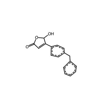 O=C1C=C(c2ccc(Cc3ccccc3)cc2)C(O)O1